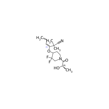 C=C/C=C(/OC1CCN(C(=O)[C@@H](C)O)CC1(F)F)C(C)(C)C#N